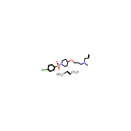 C=CCN(C)CCCOC1CCN(S(=O)(=O)c2ccc(Br)cc2)CC1.O=C(O)/C=C/C(=O)O